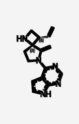 C=C[C@H]1CN[C@]12CCN(c1ncnc3[nH]ccc13)C2=C